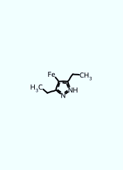 CCc1n[nH]c(CC)[c]1[Fe]